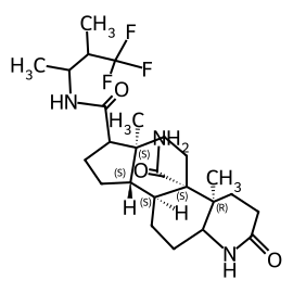 CC(NC(=O)C1CC[C@H]2[C@@H]3CCC4NC(=O)CC[C@]4(C)[C@]3(C(N)=O)CC[C@]12C)C(C)C(F)(F)F